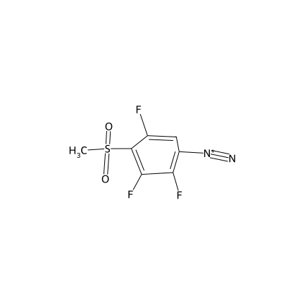 CS(=O)(=O)c1c(F)cc([N+]#N)c(F)c1F